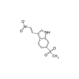 CS(=O)(=O)c1ccc2c(C=C[N+](=O)[O-])c[nH]c2c1